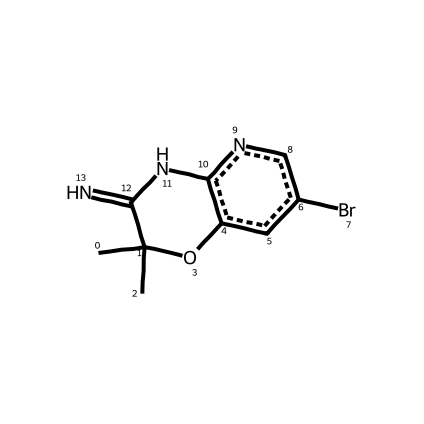 CC1(C)Oc2cc(Br)cnc2NC1=N